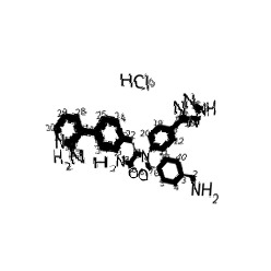 Cl.NC[C@H]1CC[C@H](C(=O)N(c2ccc(-c3nn[nH]n3)cc2)[C@@H](Cc2ccc(-c3cccnc3N)cc2)C(N)=O)CC1